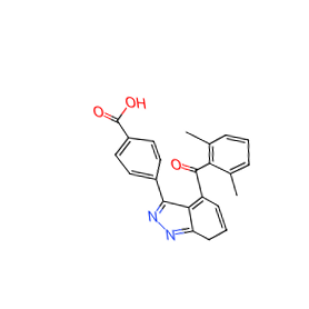 Cc1cccc(C)c1C(=O)C1=C2C(=NN=C2c2ccc(C(=O)O)cc2)CC=C1